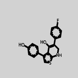 OC1=C(c2ccc(F)cc2)CNc2scc(-c3ccc(O)cc3)c21